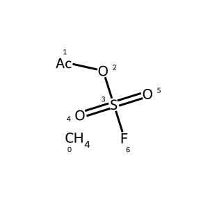 C.CC(=O)OS(=O)(=O)F